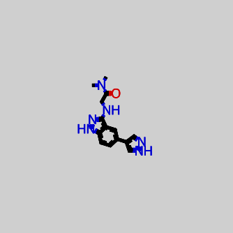 CN(C)C(=O)CNc1n[nH]c2ccc(-c3cn[nH]c3)cc12